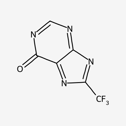 O=C1N=CN=C2N=C(C(F)(F)F)N=C12